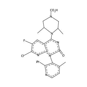 Cc1ccnc(C(C)C)c1-n1c(=O)nc(N2C(C)CN(C(=O)O)CC2C)c2cc(F)c(Cl)nc21